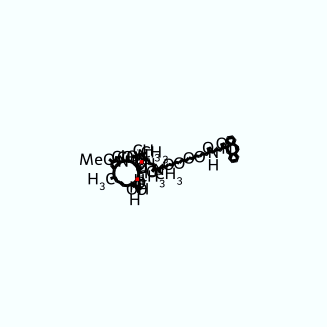 COc1cc2cc(c1Cl)N(C)C(=O)C[C@H](OC(=O)[C@H](C)N(C)C(=O)CCCC(=O)N(C)CCOCCOCCOCCOCCC(=O)NCCC(=O)N1Cc3ccccc3C#Cc3ccccc31)[C@]1(C)O[C@H]1[C@H](C)[C@@H]1C[C@](O)(C/C=C/C=C(/C)C2)NC(=O)O1